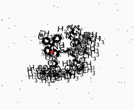 COc1ccc(C(Nc2nc(=O)n([C@@H]3C[C@H](O[Si](C)(C)C(C)(C)C)[C@@H](CO[Si](C)(C)C(C)(C)C)O3)cc2SCCN(CC[C@H](NC(=O)OC(C)(C)C)C(=O)OC(C)(C)C)C[C@H]2O[C@@H](n3cnc4c(N)ncnc43)[C@H](O[Si](C)(C)C(C)(C)C)[C@@H]2O[Si](C)(C)C(C)(C)C)(c2ccccc2)c2ccccc2)cc1